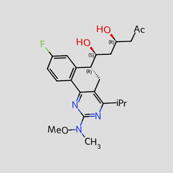 CON(C)c1nc2c(c(C(C)C)n1)C[C@@H]([C@@H](O)C[C@@H](O)CC(C)=O)c1cc(F)ccc1-2